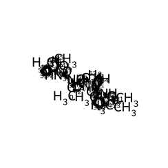 CCC[C@H](NC(=O)[C@@H]1[C@H]2C[C@H]2CN1C(=O)[C@@H](NC(=O)O[C@H](C)C(C)C)C1(C)CCCCC1)C(=O)C(=O)NCC(=O)N[C@H](C(=O)N(C)C)c1ccccc1